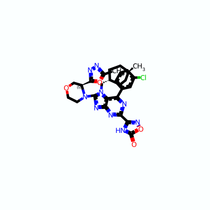 Cc1nnc([C@@H]2COCCN2c2nc3nc(-c4noc(=O)[nH]4)nc(-c4cccc(Cl)c4)c3n2C[C@H]2CC[C@H](C)CC2)o1